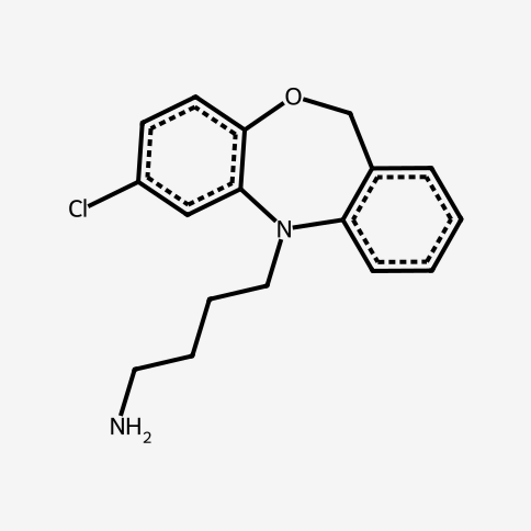 NCCCCN1c2ccccc2COc2ccc(Cl)cc21